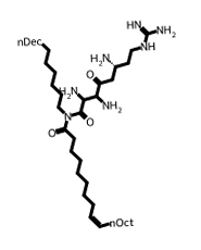 CCCCCCCC/C=C\CCCCCCCC(=O)N(CCCCCCCCCCCCCCCC)C(=O)C(N)C(N)C(=O)C[C@H](N)CCNC(=N)N